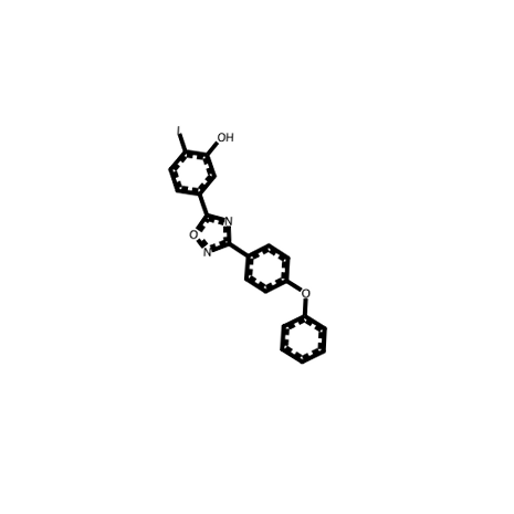 Oc1cc(-c2nc(-c3ccc(Oc4ccccc4)cc3)no2)ccc1I